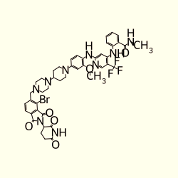 CNC(=O)c1ccccc1Nc1cc(Nc2ccc(N3CCC(N4CCN(Cc5ccc6c(c5Br)C(=O)N(C5CCC(=O)NC5=O)C6=O)CC4)CC3)cc2OC)ncc1C(F)(F)F